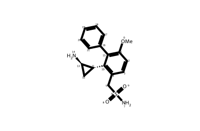 COc1ccc(CS(N)(=O)=O)c([C@@H]2C[C@H]2N)c1-c1ccccc1